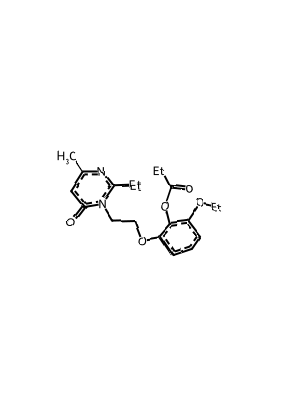 CCOc1cccc(OCCn2c(CC)nc(C)cc2=O)c1OC(=O)CC